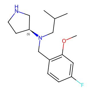 COc1cc(F)ccc1CN(CC(C)C)[C@H]1CCNC1